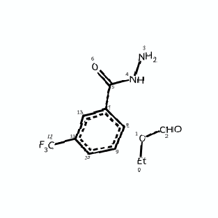 CCOC=O.NNC(=O)c1cccc(C(F)(F)F)c1